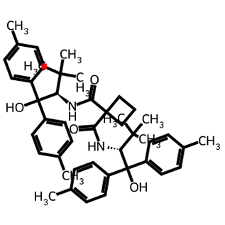 Cc1ccc(C(O)(c2ccc(C)cc2)[C@H](NC(=O)C2(C(=O)N[C@H](C(C)(C)C)C(O)(c3ccc(C)cc3)c3ccc(C)cc3)CCC2)C(C)(C)C)cc1